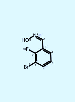 O/N=C\c1cccc(Br)c1F